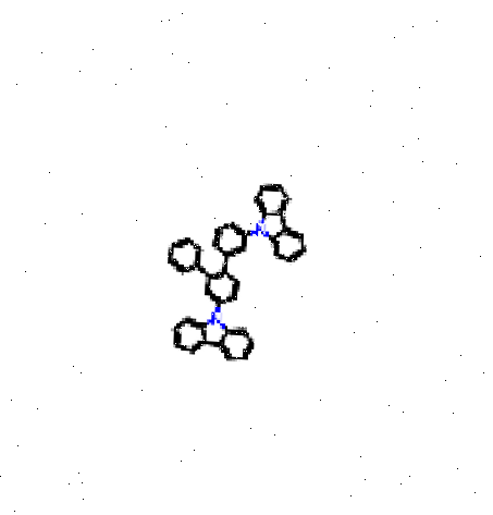 c1ccc(-c2cc(-n3c4ccccc4c4ccccc43)ccc2-c2cccc(-n3c4ccccc4c4ccccc43)c2)cc1